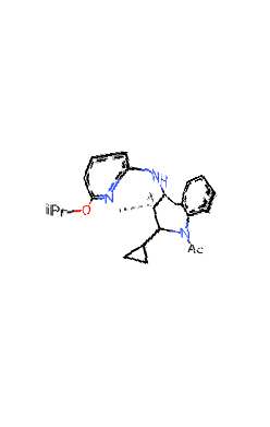 CC(=O)N1c2ccccc2C(Nc2cccc(OC(C)C)n2)[C@@H](C)C1C1CC1